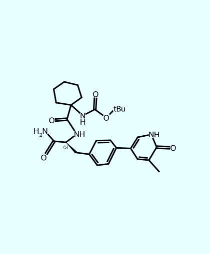 Cc1cc(-c2ccc(C[C@H](NC(=O)C3(NC(=O)OC(C)(C)C)CCCCC3)C(N)=O)cc2)c[nH]c1=O